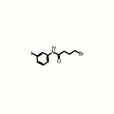 O=C(CCCBr)Nc1cccc(I)c1